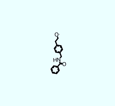 [O]CCc1ccc(CNC(=O)c2ccccc2)cc1